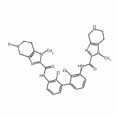 CCN1CCc2c(nc(C(=O)Nc3cccc(-c4cccc(NC(=O)c5nc6c(n5C)CCNC6)c4Cl)c3Cl)n2C)C1